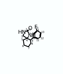 O=C1NCC2(CCCCC2c2cccc(F)c2)N1